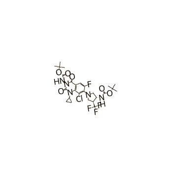 CC(C)(C)OC(=O)N[C@H]1CN(c2c(F)cc3c(=O)n(NC(=O)OC(C)(C)C)c(=O)n(C4CC4)c3c2Cl)C[C@@H]1C(F)(F)F